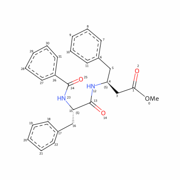 COC(=O)C[C@H](Cc1ccccc1)NC(=O)[C@H](Cc1ccccc1)NC(=O)c1ccccc1